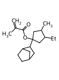 C=C(C)C(=O)OC1(C2CC3CCC2C3)CC(C)C(CC)C1